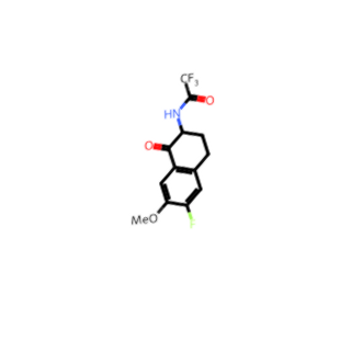 COc1cc2c(cc1F)CCC(NC(=O)C(F)(F)F)C2=O